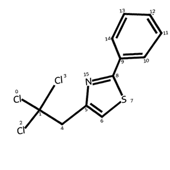 ClC(Cl)(Cl)Cc1csc(-c2cc[c]cc2)n1